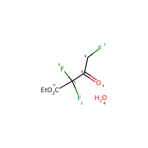 CCOC(=O)C(F)(F)C(=O)CF.O